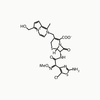 CO/N=C(\C(=O)N[C@@H]1C(=O)N2C(C(=O)[O-])=C(Cn3cc[n+]4c(CO)ccc-4c3C)CS[C@@H]12)c1nc(N)sc1Cl